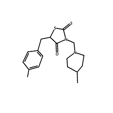 Cc1ccc(CC2SC(=S)N(CN3CCC(C)CC3)C2=O)cc1